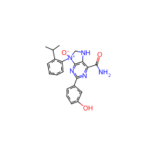 CC(C)c1ccccc1[N+]1([O-])CNc2c(C(N)=O)nc(-c3cccc(O)c3)nc21